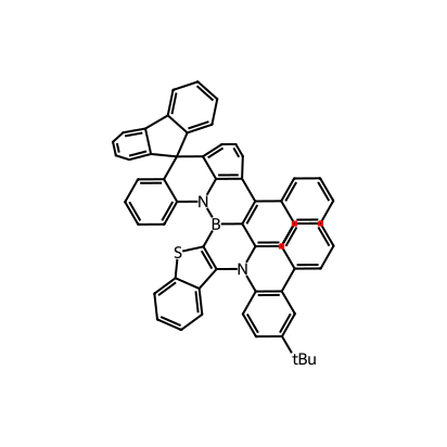 CC(C)(C)c1ccc(N2c3cc4ccccc4c4c3B(c3sc5ccccc5c32)N2c3ccccc3C3(c5ccccc5-c5ccccc53)c3cccc-4c32)c(-c2ccccc2)c1